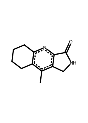 Cc1c2c(nc3c1CNC3=O)CCCC2